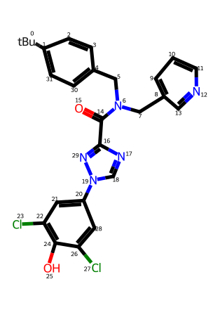 CC(C)(C)c1ccc(CN(Cc2cccnc2)C(=O)c2ncn(-c3cc(Cl)c(O)c(Cl)c3)n2)cc1